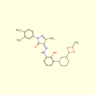 CC1=NN(c2ccc(C)c(C)c2)C(=O)/C1=N\Nc1cccc(C2CCCC(C3OC(C)O3)C2)c1O